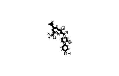 CN(C)C(=O)c1cc(C2CC2)cc2c(Cl)c(C(=O)N3CCN(C4CCC(O)CC4)C(=O)C3)nn12